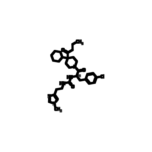 CCCC(=O)C1(C2CCCCC2)CCN(C(=O)[C@@H](Cc2ccc(Cl)cc2)NC(=O)NCCc2cn(C)cn2)CC1